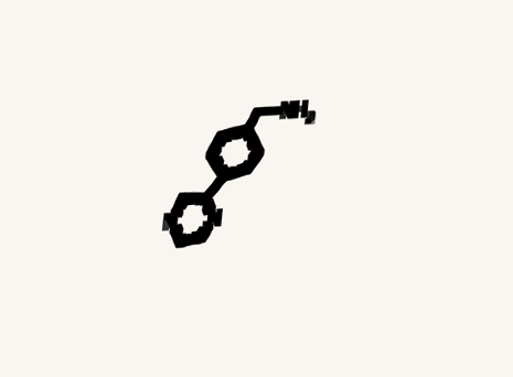 NCc1ccc(-c2cnccn2)cc1